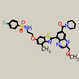 COCc1cnc2c(-c3nc4c(C)cc(OCCNS(=O)(=O)c5ccc(F)cc5)cc4s3)cc(C(=O)N3CCCCC3)cc2n1